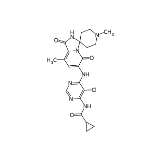 Cc1cc(Nc2ncnc(NC(=O)C3CC3)c2Cl)c(=O)n2c1C(=O)NC21CCN(C)CC1